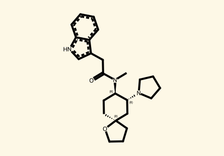 CN(C(=O)Cc1c[nH]c2ccccc12)[C@@H]1CC[C@@]2(CCCO2)C[C@H]1N1CCCC1